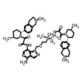 C[C@H]1CC[C@H](c2ccc3c(c2)CCN(C)C3)N(C(=O)C(=O)Nc2cnc(N)c3cnn(COCC[Si](C)(C)C)c23)C1.C[C@H]1CC[C@H](c2ccc3c(c2)CCN(C)C3)N(C(=O)C(N)=O)C1